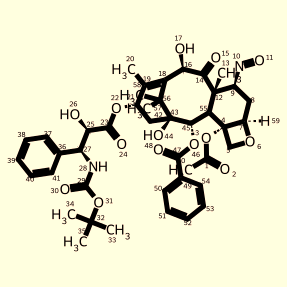 CC(=O)O[C@@]12CO[C@@H]1C[C@H](N=O)[C@@]1(C)C(=O)[C@H](O)C3=C(C)[C@@H](OC(=O)[C@H](O)[C@@H](NC(=O)OC(C)(C)C)c4ccccc4)C[C@@](O)([C@@H](OC(=O)c4ccccc4)C12)C3(C)C